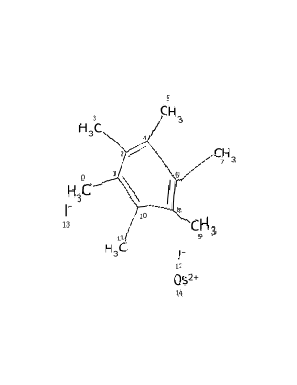 Cc1c(C)c(C)c(C)c(C)c1C.[I-].[I-].[Os+2]